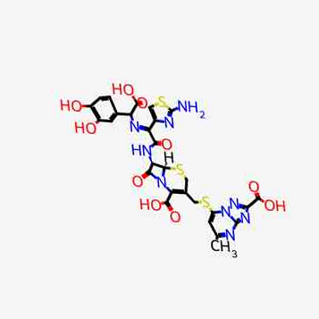 Cc1cc(SCC2=C(C(=O)O)N3C(=O)[C@@H](NC(=O)C(=NC(C(=O)O)c4ccc(O)c(O)c4)c4csc(N)n4)[C@H]3SC2)n2nc(C(=O)O)nc2n1